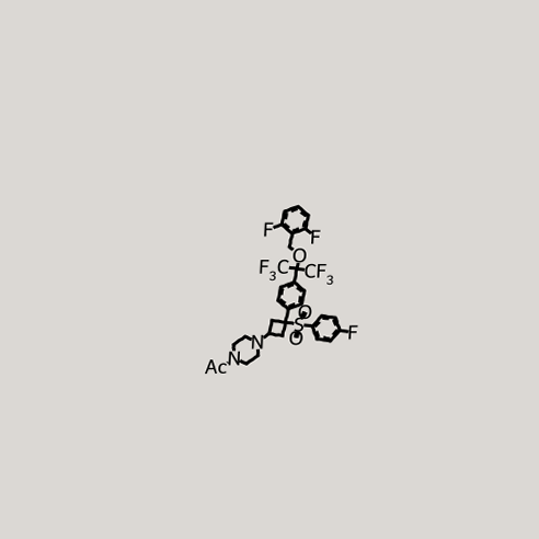 CC(=O)N1CCN(C2CC(c3ccc(C(OCc4c(F)cccc4F)(C(F)(F)F)C(F)(F)F)cc3)(S(=O)(=O)c3ccc(F)cc3)C2)CC1